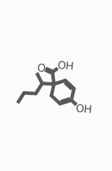 CCCC(C)C1(C(=O)O)C=CC(O)=CC1